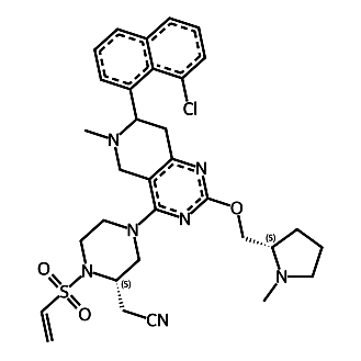 C=CS(=O)(=O)N1CCN(c2nc(OC[C@@H]3CCCN3C)nc3c2CN(C)C(c2cccc4cccc(Cl)c24)C3)C[C@@H]1CC#N